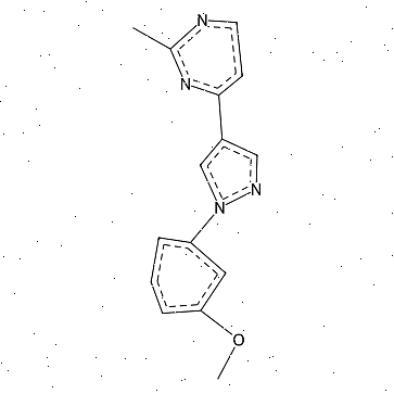 COc1cccc(-n2cc(-c3ccnc(C)n3)cn2)c1